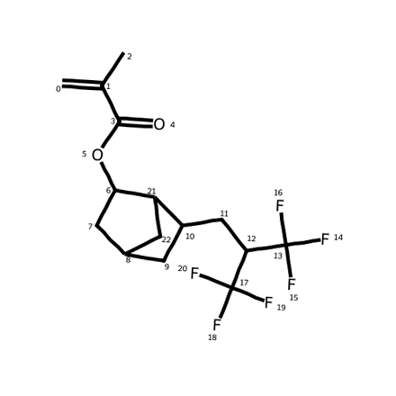 C=C(C)C(=O)OC1CC2CC(CC(C(F)(F)F)C(F)(F)F)C1C2